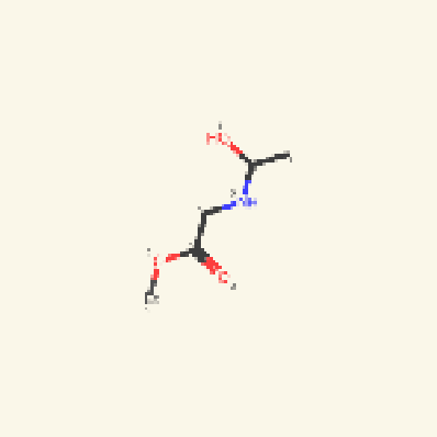 CCOC(=O)CNC(C)O